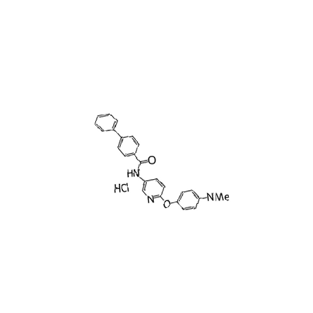 CNc1ccc(Oc2ccc(NC(=O)c3ccc(-c4ccccc4)cc3)cn2)cc1.Cl